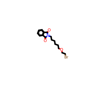 O=C1c2ccccc2C(=O)N1CCCCCCOCCBr